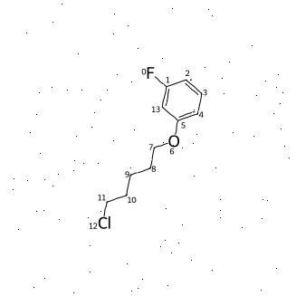 Fc1[c]ccc(OCCCCCCl)c1